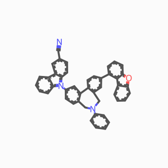 N#Cc1ccc2c(c1)c1ccccc1n2-c1ccc2c(c1)-c1ccc(-c3cccc4oc5ccccc5c34)cc1CN(c1ccccc1)C2